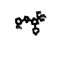 Cc1cccc(-c2ccn(-c3cc(N4CCOCC4)nc(C(C)(O)CO)n3)n2)c1